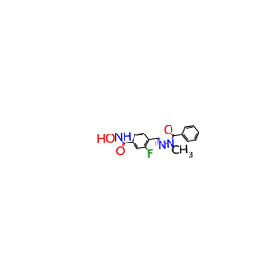 CN(/N=C/c1ccc(C(=O)NO)cc1F)C(=O)c1ccccc1